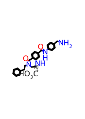 NCc1ccc(NC(=O)c2ccc3c(c2)N[C@H](CC(=O)O)CN(CCc2ccccc2)C3=O)cc1